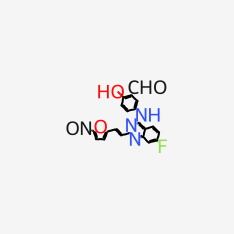 O=Cc1cc(Nc2nc(/C=C/c3ccc(N=O)o3)nc3cc(F)ccc23)ccc1O